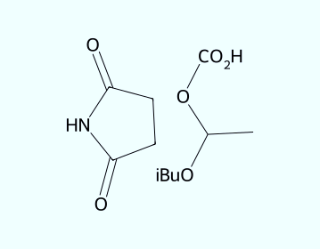 CC(C)COC(C)OC(=O)O.O=C1CCC(=O)N1